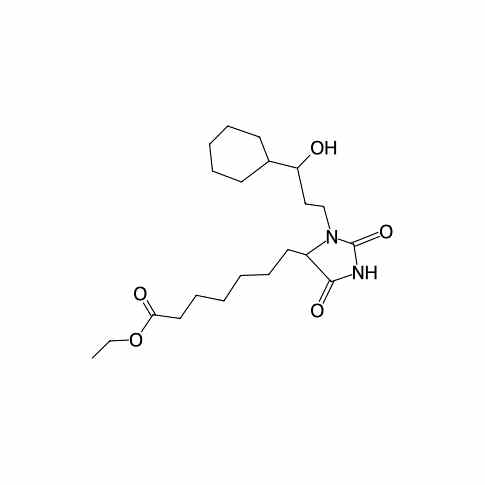 CCOC(=O)CCCCCCC1C(=O)NC(=O)N1CCC(O)C1CCCCC1